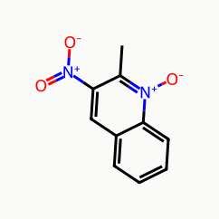 Cc1c([N+](=O)[O-])cc2ccccc2[n+]1[O-]